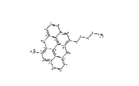 CCCCCc1cc2cccc3oc4c(C)cc5cccc6oc1c(c23)-c4c56